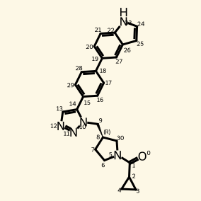 O=C(C1CC1)N1CC[C@@H](Cn2nncc2-c2ccc(-c3ccc4[nH]ccc4c3)cc2)C1